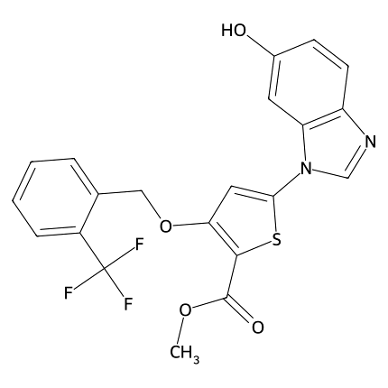 COC(=O)c1sc(-n2cnc3ccc(O)cc32)cc1OCc1ccccc1C(F)(F)F